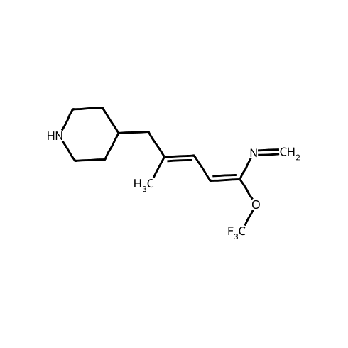 C=N/C(=C\C=C(/C)CC1CCNCC1)OC(F)(F)F